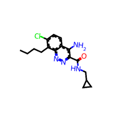 CCCCc1c(Cl)ccc2c(N)c(C(=O)NCC3CC3)nnc12